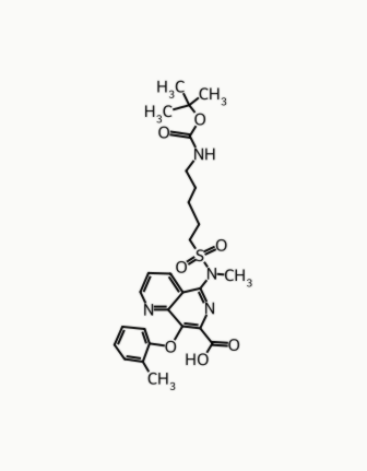 Cc1ccccc1Oc1c(C(=O)O)nc(N(C)S(=O)(=O)CCCCCNC(=O)OC(C)(C)C)c2cccnc12